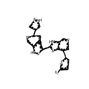 CC(=O)c1ccc(-c2cncc3[nH]c(-c4n[nH]c5cnc(-c6cn[nH]c6)cc45)nc23)s1